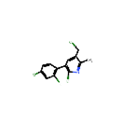 Cc1nc(Cl)c(-c2ccc(Cl)cc2Cl)cc1CCl